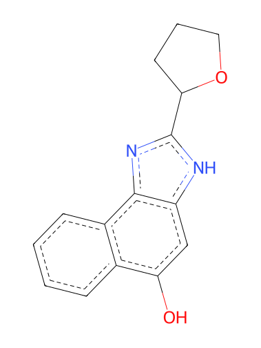 Oc1cc2[nH]c(C3CCCO3)nc2c2ccccc12